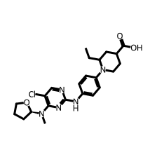 CCC1CC(C(=O)O)CCN1c1ccc(Nc2ncc(Cl)c(N(C)[C@H]3CCCO3)n2)cc1